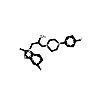 CC(=O)OC(CN1CCN(c2ccc(F)cc2)CC1)Cn1c(C)nc2cc(F)ccc21